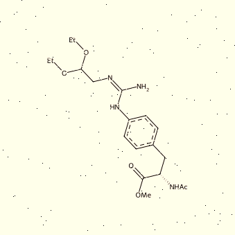 CCOC(C/N=C(/N)Nc1ccc(C[C@H](NC(C)=O)C(=O)OC)cc1)OCC